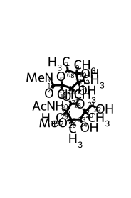 CNC(=O)C1(C)OC(C)C(C)(O)C(C)(O)C1(C)OC1OC(C)(CO)C(O)C(C)(OC)C1(C)NC(C)=O